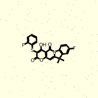 CC1(C)c2cc(F)ccc2-n2c1cc1oc(=O)c(Sc3ccccc3F)c(O)c1c2=O